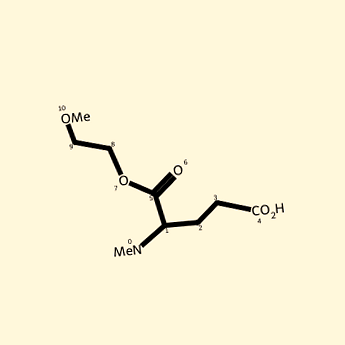 CNC(CCC(=O)O)C(=O)OCCOC